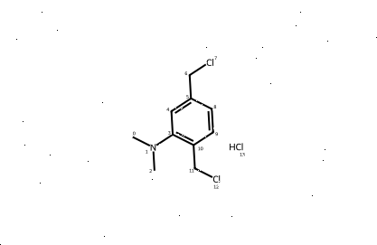 CN(C)c1cc(CCl)ccc1CCl.Cl